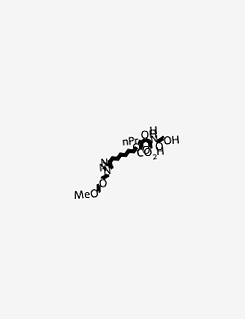 CCCC1C(O)C(NC(=O)CO)COC1(OCCCCCCc1cn(CCOCCOC)nn1)C(=O)O